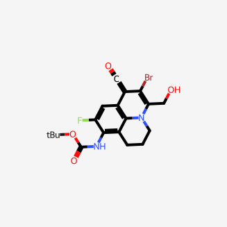 CC(C)(C)OC(=O)Nc1c(F)cc2c3c1CCCN3C(CO)=C(Br)C2=C=O